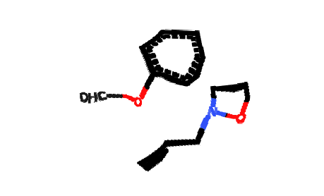 C=CCN1CCO1.O=COc1ccccc1